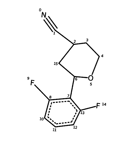 N#CC1CCOC(c2c(F)cccc2F)C1